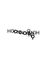 Cc1ccc(C(O)C(C)n2ncn(-c3ccc(N4CCN(c5ccc(O)cc5)CC4)cc3)c2=O)cc1